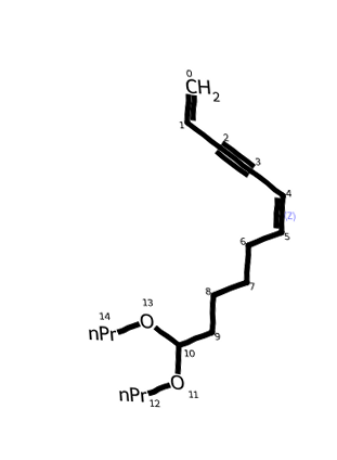 C=CC#C/C=C\CCCCC(OCCC)OCCC